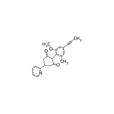 CC#Cc1cc(C)c(C2C(=O)CC(c3ccccn3)CC2=O)c(OC)c1